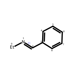 CC/N=C/c1ccccc1